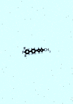 CC1CC2(C1)CC(c1ccc(-c3cc(F)c(F)c(F)c3)cc1)C2